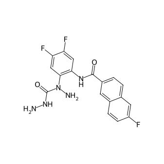 NNC(=O)N(N)c1cc(F)c(F)cc1NC(=O)c1ccc2cc(F)ccc2c1